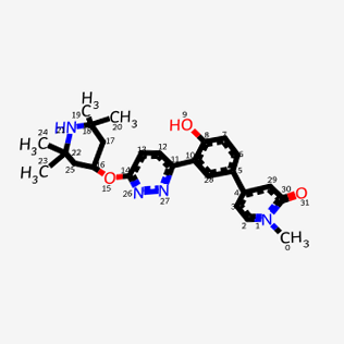 Cn1ccc(-c2ccc(O)c(-c3ccc(OC4CC(C)(C)NC(C)(C)C4)nn3)c2)cc1=O